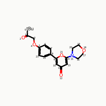 CC(C)(C)C(=O)COc1ccc(-c2cc(=O)cc(N3CCOCC3)o2)cc1